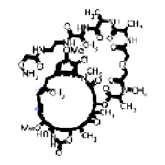 COc1cc2cc(c1Cl)N(C)C(=O)CC(OC(=O)C(C)N(C)C(=O)COCC(=O)NC(C)C(=O)NC(C)C(=O)NC(C)C(=O)NCCNC(=O)CON)C1(C)OC1C(C)C1CC(O)(NC(=O)O1)C(OC)/C=C/C=C(\C)C2